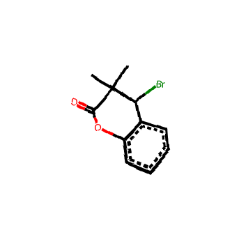 CC1(C)C(=O)Oc2ccccc2C1Br